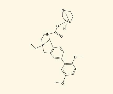 CCC1(CC)Cc2cc(-c3cc(OC)ccc3OC)ccc2C1NC(=O)O[C@H]1CN2CCC1CC2